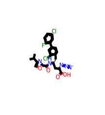 CC(C)c1coc(C(=O)N[C@H](Cc2ccc(-c3cc(Cl)ccc3F)cc2Cl)CC(N=[N+]=[N-])C(=O)O)n1